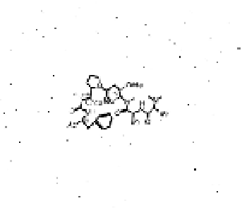 CC[C@H](C)C([C@@H](CC(=O)N1CCCC1[C@H](OC)[C@@H](C)C(=O)N[C@@H](Cc1ccccc1)C(C)=O)OC)N(C)C(=O)C(NC(=O)C(C(C)C)N(C)C)C(C)C